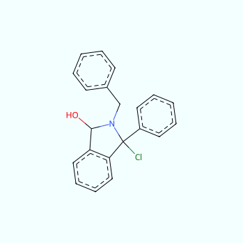 OC1c2ccccc2C(Cl)(c2ccccc2)N1Cc1ccccc1